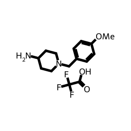 COc1ccc(CN2CCC(N)CC2)cc1.O=C(O)C(F)(F)F